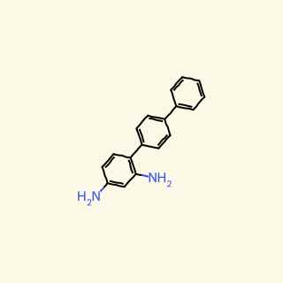 Nc1ccc(-c2ccc(-c3ccccc3)cc2)c(N)c1